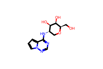 OC[C@H]1OC[C@H](Nc2ncnn3cccc23)[C@@H](O)[C@H]1O